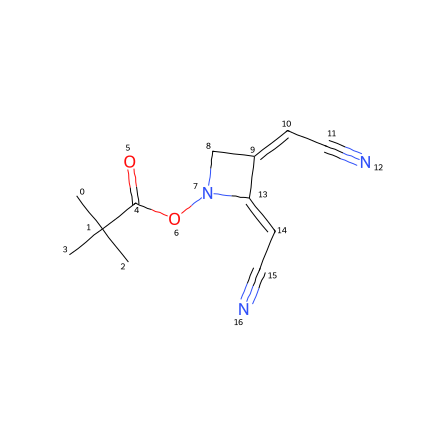 CC(C)(C)C(=O)ON1CC(=CC#N)C1=CC#N